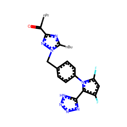 CCCCc1nc(C(=O)CCC)nn1Cc1ccc(-n2c(F)cc(F)c2-c2nnn[nH]2)cc1